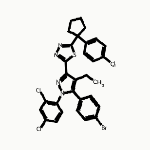 CCc1c(-c2nnc(C3(c4ccc(Cl)cc4)CCCC3)s2)nn(-c2ccc(Cl)cc2Cl)c1-c1ccc(Br)cc1